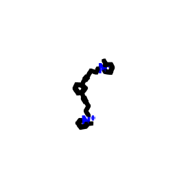 Cc1cccc[n+]1CCCC#Cc1cccc(C#CCCC[n+]2ccccc2C)c1